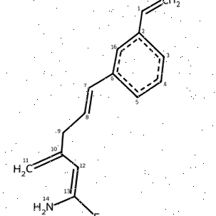 C=Cc1cccc(/C=C/CC(=C)/C=C(\N)F)c1